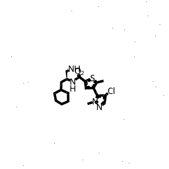 Cc1sc(C(=O)N[C@H](CN)CC2CCCCC2)cc1-c1c(Cl)cnn1C